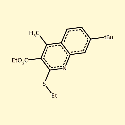 CCOC(=O)c1c(SCC)nc2cc(C(C)(C)C)ccc2c1C